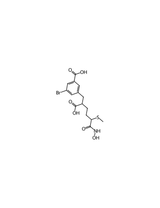 CSC(CCC(Cc1cc(Br)cc(C(=O)O)c1)C(=O)O)C(=O)NO